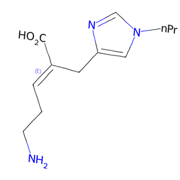 CCCn1cnc(C/C(=C\CCN)C(=O)O)c1